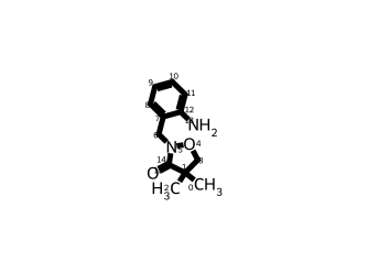 CC1(C)CON(Cc2ccccc2N)C1=O